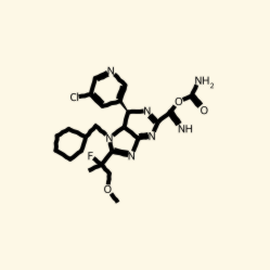 COCC(C)(F)C1=NC2=NC(C(=N)OC(N)=O)=N[C@H](c3cncc(Cl)c3)C2N1CC1CCCCC1